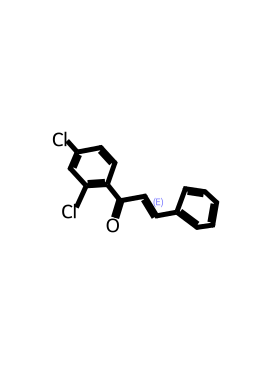 O=C(/C=C/c1ccccc1)c1ccc(Cl)cc1Cl